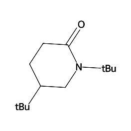 CC(C)(C)C1CCC(=O)N(C(C)(C)C)C1